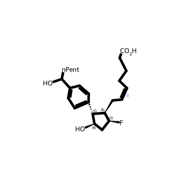 CCCCCC(O)c1ccc([C@@H]2[C@@H](C/C=C\CCCC(=O)O)[C@@H](F)C[C@H]2O)cc1